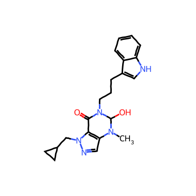 CN1c2cnn(CC3CC3)c2C(=O)N(CCCc2c[nH]c3ccccc23)C1O